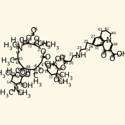 CC[C@H]1OC(=O)[C@H](C)[C@@H](O[C@H]2C[C@@](C)(OC)[C@@H](OC(=O)CCNCCCc3cc4c5c(c3)c(=O)c(C(=O)O)cn5CCC4)[C@H](C)O2)[C@H](C)[C@@H](O[C@@H]2O[C@H](C)C[C@H](N(C)C)[C@H]2O)[C@](C)(O)C[C@@H](C)CN(C)[C@H](C)[C@@H]2OC(=O)O[C@]12C